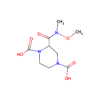 CON(C)C(=O)C1CN(C(=O)O)CCN1C(=O)O